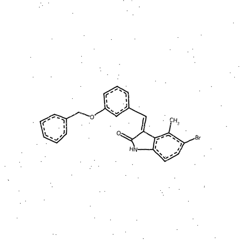 Cc1c(Br)ccc2c1C(=Cc1cccc(OCc3ccccc3)c1)C(=O)N2